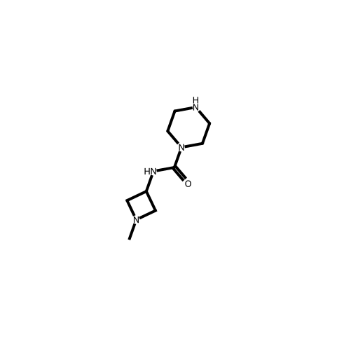 CN1CC(NC(=O)N2CCNCC2)C1